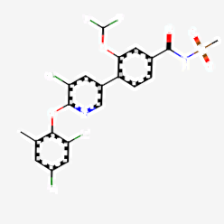 Cc1cc(Cl)cc(Cl)c1Oc1ncc(-c2ccc(C(=O)NS(C)(=O)=O)cc2OC(F)F)cc1Cl